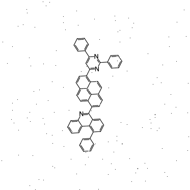 c1ccc(-c2cc(-c3ccc4ccc5c(-c6nc7ccccc7c7c(-c8ccccc8)cccc67)ccc6ccc3c4c65)nc(-c3ccccc3)n2)cc1